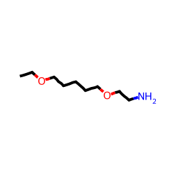 CCOCCCCCOCCN